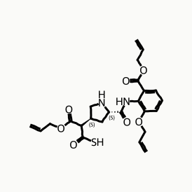 C=CCOC(=O)c1cccc(OCC=C)c1NC(=O)[C@@H]1C[C@@H](C(C(=O)S)C(=O)OCC=C)CN1